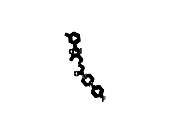 Cc1cccc(-c2nc(CSCC(=O)N3CCN(c4ccc(F)cc4)CC3)c(C)o2)c1